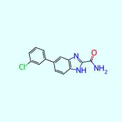 NC(=O)c1nc2cc(-c3cccc(Cl)c3)ccc2[nH]1